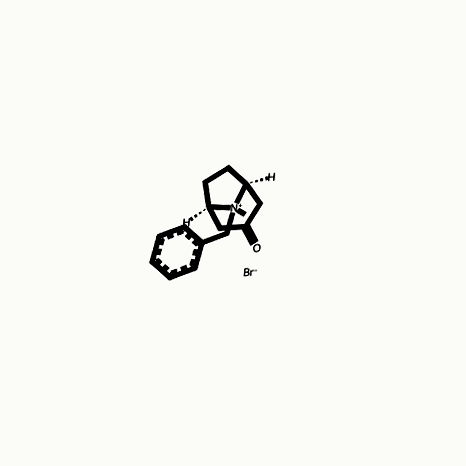 C[N+]1(Cc2ccccc2)[C@@H]2CC[C@H]1CC(=O)C2.[Br-]